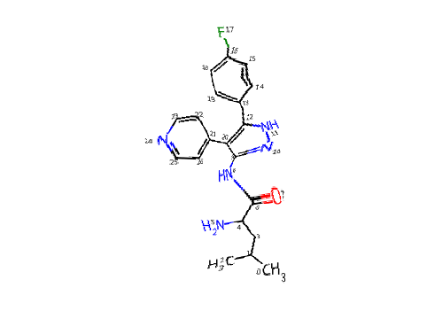 CC(C)CC(N)C(=O)Nc1n[nH]c(-c2ccc(F)cc2)c1-c1ccncc1